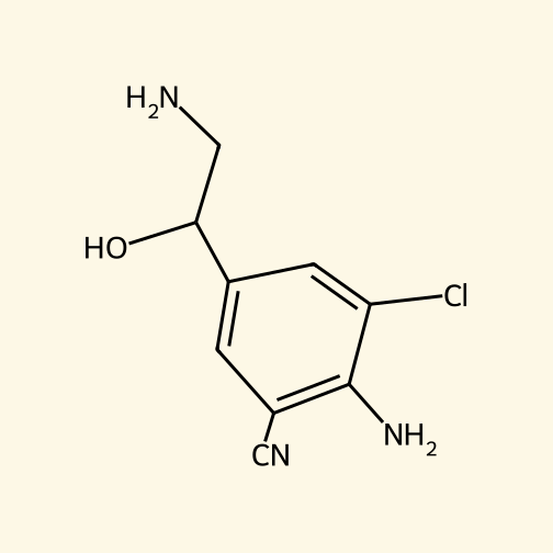 N#Cc1cc(C(O)CN)cc(Cl)c1N